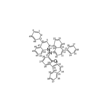 C1=CCC(c2cc[n+](N(c3ccc(-c4ccccc4)c4ccccc34)c3cccc4c3oc3ccc5ccccc5c34)c3ccccc23)C=C1